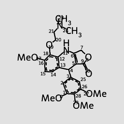 COc1cc(C2C3=C(COC3=O)Nc3c2ccc(OC)c3OCCN(C)C)cc(OC)c1OC